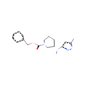 CCOC(=O)c1cc(N(C)[C@H]2CCCN(C(=O)OCc3ccccc3)C2)[nH]n1